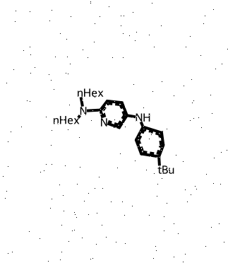 CCCCCCN(CCCCCC)c1ccc(Nc2ccc(C(C)(C)C)cc2)cn1